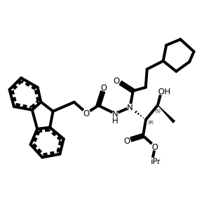 CC(C)OC(=O)[C@@H]([C@H](C)O)N(NC(=O)OCC1c2ccccc2-c2ccccc21)C(=O)CCC1CCCCC1